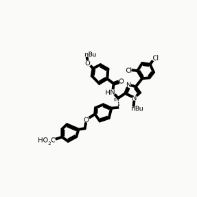 CCCCOc1ccc(C(=O)N[C@@H](Cc2ccc(OCc3ccc(C(=O)O)cc3)cc2)c2nc(-c3ccc(Cl)cc3Cl)cn2CCCC)cc1